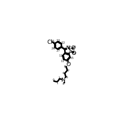 CCCN(C)CCCCOc1ccc2c(c1)S(=O)(=O)N=C2c1ccc(Cl)cc1